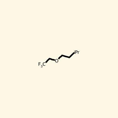 CC(C)CCOCC(F)(F)F